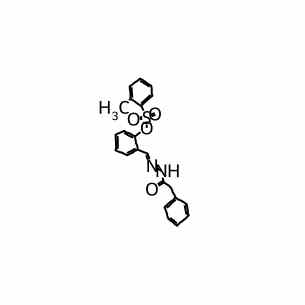 Cc1ccccc1S(=O)(=O)Oc1ccccc1C=NNC(=O)Cc1ccccc1